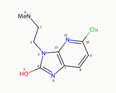 CNCCn1c(O)nc2ccc(Cl)nc21